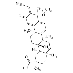 CO[C@@]1(C)C2=CC=C3[C@@](C)(CC[C@@]4(C)[C@@H]5C[C@](C)(C(=O)O)CC[C@]5(C)CC[C@]34C)C2=CC(=O)/C1=C\C#N